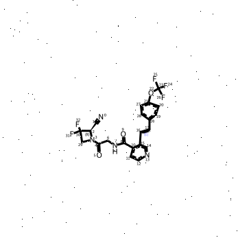 N#C[C@H]1N(C(=O)CNC(=O)c2ccncc2/C=C/c2ccc(OC(F)(F)F)cc2)CC1(F)F